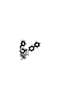 C[C@@]1(CO[C@H]2CC[C@@H](c3ccccc3)CC2)CN(Cc2ccccc2)CCC1NS(C)(=O)=O